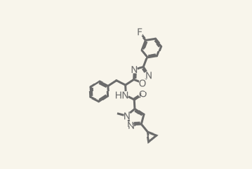 Cn1nc(C2CC2)cc1C(=O)NC(Cc1ccccc1)c1nc(-c2cccc(F)c2)no1